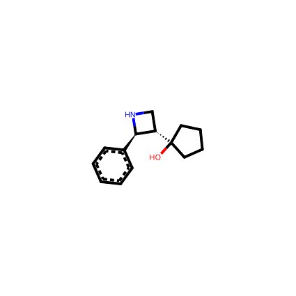 OC1([C@H]2CN[C@@H]2c2ccccc2)CCCC1